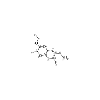 CCOC(=O)[C@H](C)Oc1ccc(CN)c(F)c1